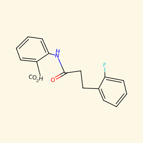 O=C(CCc1ccccc1F)Nc1ccccc1C(=O)O